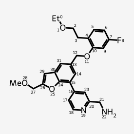 CCOCCc1ccc(F)cc1OCc1cc(-c2ccnc(CN)c2)c2oc(COC)cc2c1